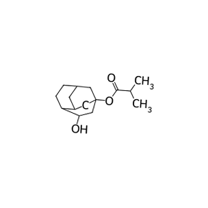 CC(C)C(=O)OC12CC3CCC(C(O)C1)C(C3)C2